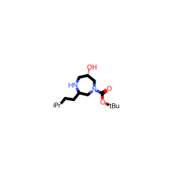 CC(C)CCC1CN(C(=O)OC(C)(C)C)C[C@@H](O)CN1